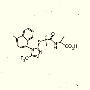 Cc1ccc(-n2c(SC(C)(C)C(=O)NC(C)C(=O)O)nnc2C(F)(F)F)c2ccccc12